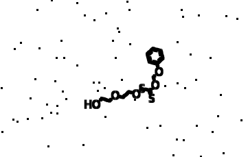 OCCOCCOSC(=S)OCOc1ccccc1